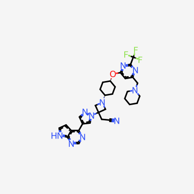 N#CCC1(n2cc(-c3ncnc4[nH]ccc34)cn2)CN([C@H]2CC[C@@H](Oc3cc(CN4CCCCC4)nc(C(F)(F)F)n3)CC2)C1